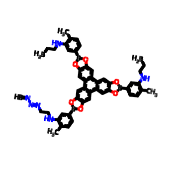 B=NN=NCCNc1cc(B2Oc3cc4c5cc6c(cc5c5cc7c(cc5c4cc3O2)OB(c2ccc(C)c(NCCB)c2)O7)OB(c2ccc(C)c(NCCB)c2)O6)ccc1C